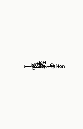 CCCCCCCCCOC(=O)CCCCCCCN(CCCCCCCC(=O)OC(CCCCCCCC)CCCCCCCI)CCCN(O)S(C)(=O)=O